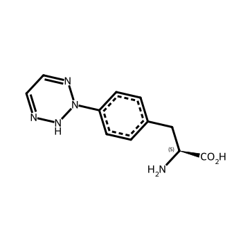 N[C@@H](Cc1ccc(N2N=CC=NN2)cc1)C(=O)O